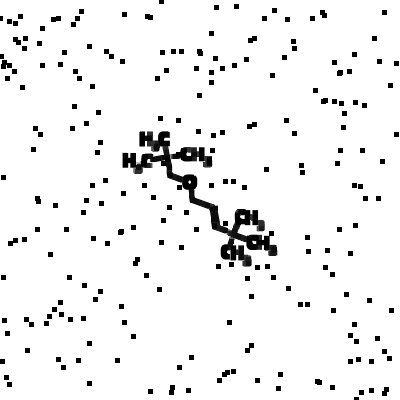 CC(C)(C)/C=C/COCC(C)(C)C